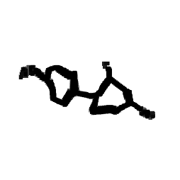 CSc1ccc(-c2ccc(C#N)cc2)c(F)c1